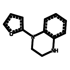 c1coc(N2CCNc3ccccc32)c1